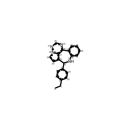 CCc1ccc(C2Nc3ccccc3-c3ncnn4ccc2c34)cc1